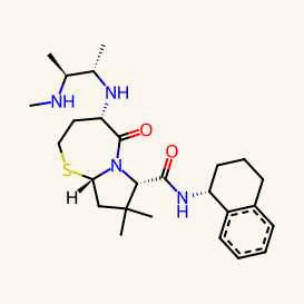 CN[C@@H](C)[C@H](C)N[C@H]1CCS[C@H]2CC(C)(C)[C@@H](C(=O)N[C@@H]3CCCc4ccccc43)N2C1=O